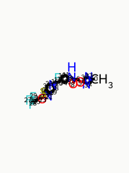 Cc1cnc(OCC(=O)N[C@H]2CC[C@](F)(CCN3CCc4nc(OCCC(F)(F)F)sc4CC3)CC2)cn1